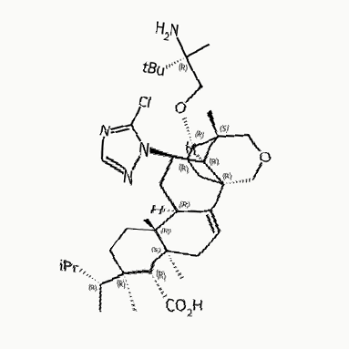 CC(C)[C@@H](C)[C@@]1(C)CC[C@]2(C)[C@H]3CC[C@@H]4[C@@]5(COC[C@@]4(C)[C@@H](OC[C@](C)(N)C(C)(C)C)[C@H](n4ncnc4Cl)C5)C3=CC[C@@]2(C)[C@@H]1C(=O)O